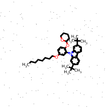 CCCCCCCCOc1ccc(OC2CCCCO2)c(-n2c3cc(C(C)(C)C)ccc3c3ccc(C(C)(C)C)cc32)c1